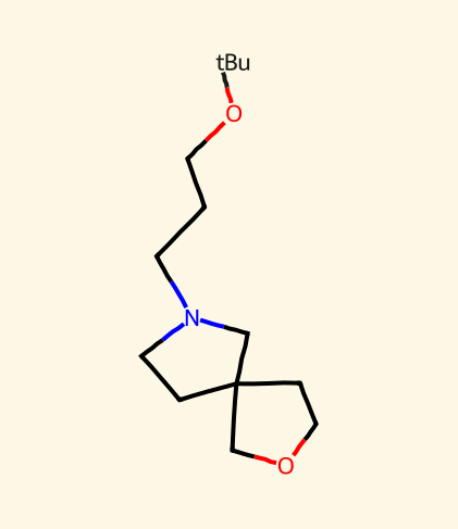 CC(C)(C)OCCCN1CCC2(CCOC2)C1